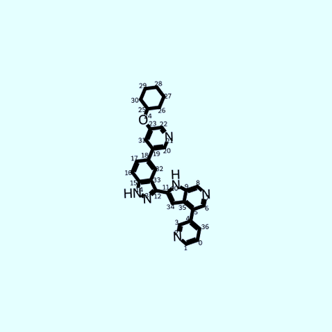 c1cncc(-c2cncc3[nH]c(-c4n[nH]c5ccc(-c6cncc(OC7CCCCC7)c6)cc45)cc23)c1